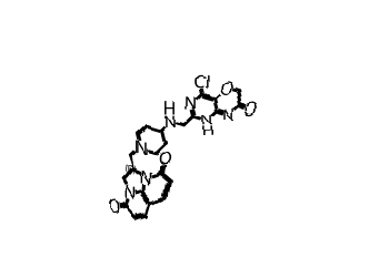 O=C1COC2=C(Cl)N=C(CNC3CCN(C[C@@H]4Cn5c(=O)ccc6ccc(=O)n4c65)CC3)NC2=N1